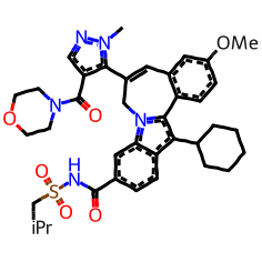 COc1ccc2c(c1)C=C(c1c(C(=O)N3CCOCC3)cnn1C)Cn1c-2c(C2CCCCC2)c2ccc(C(=O)NS(=O)(=O)CC(C)C)cc21